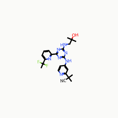 CC(C)(O)CNc1nc(Nc2ccnc(C(C)(C)C#N)c2)nc(-c2cccc(C(C)(F)F)n2)n1